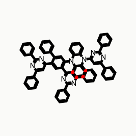 c1ccc(-c2cc(-c3cc(-c4cc(-c5ccccc5)nc(-c5ccccc5)n4)c(N4c5ccccc5N(c5cc(-c6ccccc6)nc(-c6ccccc6)n5)c5ccccc54)cc3-c3ccccc3)nc(-c3ccccc3)n2)cc1